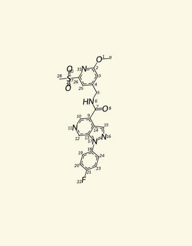 COc1cc(CNC(=O)c2cncc3c2cnn3-c2ccc(F)cc2)cc(S(C)(=O)=O)n1